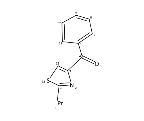 CC(C)c1nc(C(=O)c2ccccc2)cs1